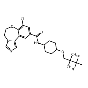 CC(C)(COC1CCC(NC(=O)c2cc(Cl)c3c(c2)-c2cncn2CCO3)CC1)C(F)(F)F